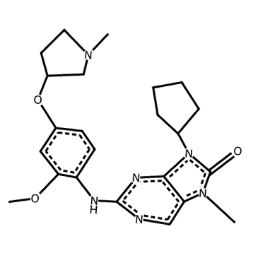 COc1cc(OC2CCN(C)C2)ccc1Nc1ncc2c(n1)n(C1CCCC1)c(=O)n2C